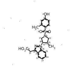 Cc1cc(O)ccc1S(=O)(=O)N1C[C@@H](C)[C@@H](n2nc(CC(=O)O)c3ccccc32)C1